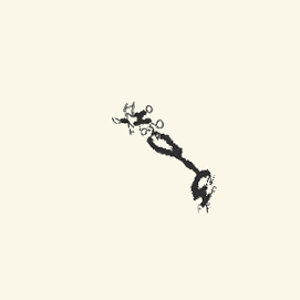 C[C@]1(CS(=O)(=O)N2CC=C(C#Cc3ccc(C(F)(F)F)nc3)CC2)NC(=O)NC1=O